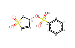 O=S1(=O)C=C[C@@H](OS(=O)(=O)c2ccccc2)C1